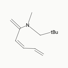 C=C/C=C\C(=C)N(C)CC(C)(C)C